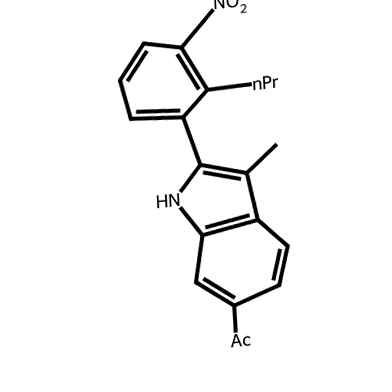 CCCc1c(-c2[nH]c3cc(C(C)=O)ccc3c2C)cccc1[N+](=O)[O-]